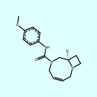 COc1ccc(NC(=O)N2C/C=C\CN3CC[C@@H]3C2)cc1